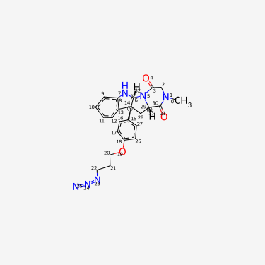 CN1CC(=O)N2[C@H]3Nc4ccccc4[C@@]3(c3ccc(OCCCN=[N+]=[N-])cc3)C[C@H]2C1=O